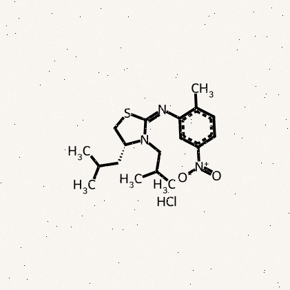 Cc1ccc([N+](=O)[O-])cc1/N=C1/SC[C@@H](CC(C)C)N1CC(C)C.Cl